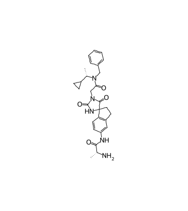 C[C@@H](N)C(=O)Nc1ccc2c(c1)CCC21NC(=O)N(CC(=O)N(Cc2ccccc2)[C@@H](C)C2CC2)C1=O